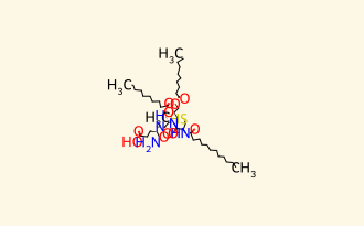 CCCCCCCCCCCC(=O)NC(CS)C(=O)N(C[C@H](COC(=O)CCCCCCCCC)OC(=O)CCCCCCCCC)[C@@H](C)C(=O)N[C@H](CCC(=O)O)C(N)=O